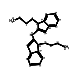 CCCCC1[C]([Hf][C]2=Cc3ccccc3C2CCCC)=Cc2ccccc21